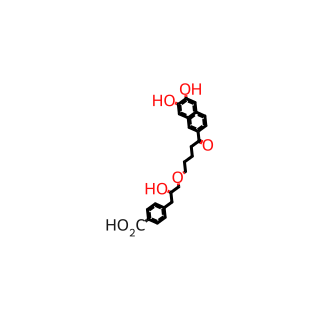 O=C(O)c1ccc(CC(O)COCCCCC(=O)c2ccc3cc(O)c(O)cc3c2)cc1